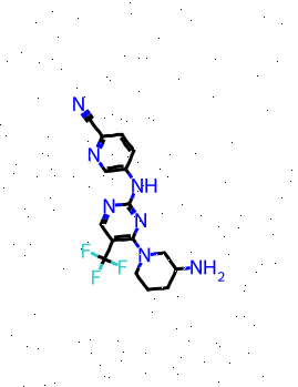 N#Cc1ccc(Nc2ncc(C(F)(F)F)c(N3CCCC(N)C3)n2)cn1